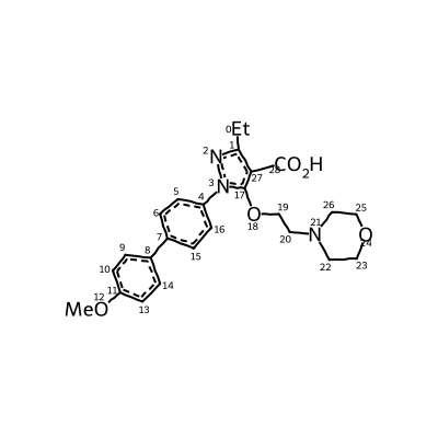 CCc1nn(-c2ccc(-c3ccc(OC)cc3)cc2)c(OCCN2CCOCC2)c1C(=O)O